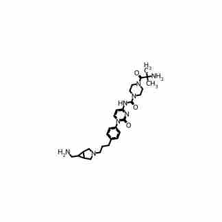 CC(C)(N)C(=O)N1CCN(C(=O)Nc2ccn(-c3ccc(CCCN4CC5C(CN)C5C4)cc3)c(=O)n2)CC1